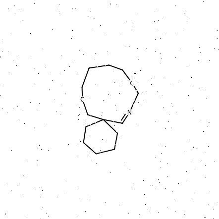 C1=NCCCCCCCCC12CCCCC2